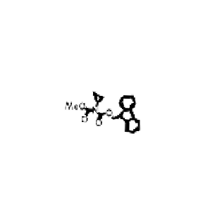 COC(=O)N(C(=O)OCC1c2ccccc2-c2ccccc21)C1CC1